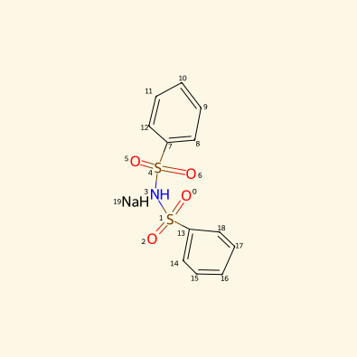 O=S(=O)(NS(=O)(=O)c1ccccc1)c1ccccc1.[NaH]